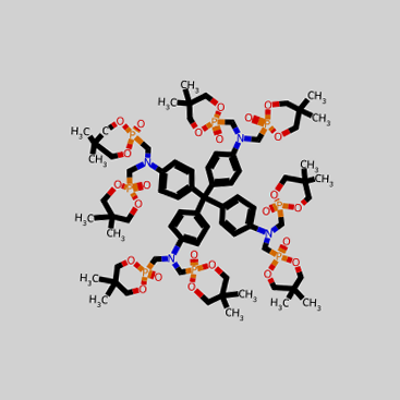 CC1(C)COP(=O)(CN(CP2(=O)OCC(C)(C)CO2)c2ccc(C(c3ccc(N(CP4(=O)OCC(C)(C)CO4)CP4(=O)OCC(C)(C)CO4)cc3)(c3ccc(N(CP4(=O)OCC(C)(C)CO4)CP4(=O)OCC(C)(C)CO4)cc3)c3ccc(N(CP4(=O)OCC(C)(C)CO4)CP4(=O)OCC(C)(C)CO4)cc3)cc2)OC1